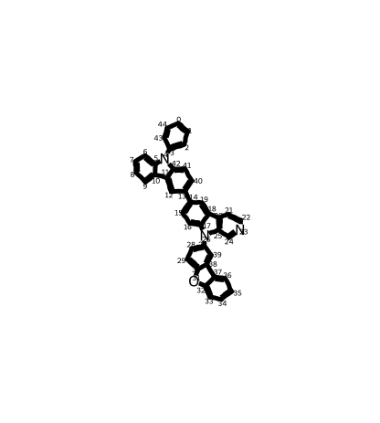 c1ccc(-n2c3ccccc3c3cc(-c4ccc5c(c4)c4ccncc4n5-c4ccc5oc6ccccc6c5c4)ccc32)cc1